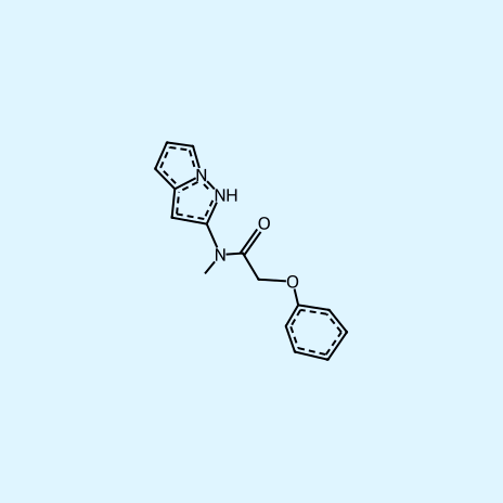 CN(C(=O)COc1ccccc1)c1cc2cccn2[nH]1